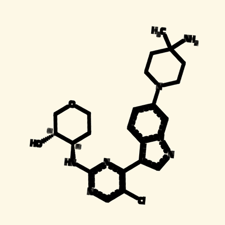 CC1(N)CCN(c2ccc3c(-c4nc(N[C@@H]5CCOC[C@H]5O)ncc4Cl)cnn3c2)CC1